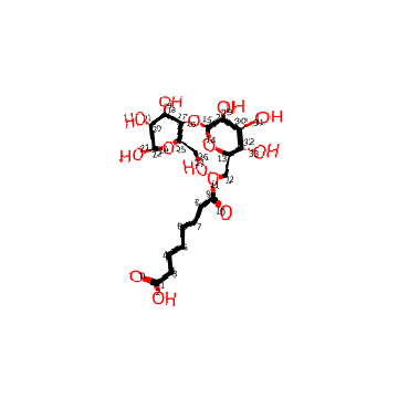 O=C(O)CCCCCCC(=O)OC[C@H]1O[C@@H](O[C@H]2[C@H](O)[C@@H](O)[C@H](O)O[C@@H]2CO)[C@H](O)[C@@H](O)[C@@H]1O